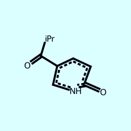 CC(C)C(=O)c1ccc(=O)[nH]c1